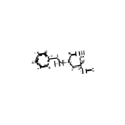 COC(=O)CC(CO)NCc1ccccc1